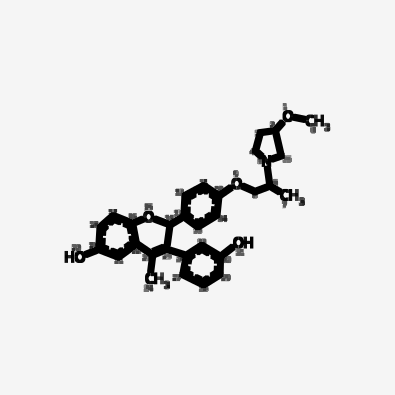 COC1CCN(C(C)COc2ccc(C3Oc4ccc(O)cc4C(C)=C3c3cccc(O)c3)cc2)C1